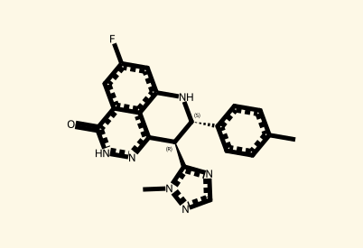 Cc1ccc([C@H]2Nc3cc(F)cc4c(=O)[nH]nc(c34)[C@@H]2c2ncnn2C)cc1